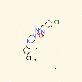 Cc1ccc(CN2CCN(c3nc(Cc4ccc(Cl)cc4)no3)CC2)cc1